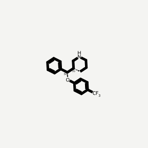 FC(F)(F)c1ccc(O[C@H](c2ccccc2)[C@H]2CCCNC2)cc1